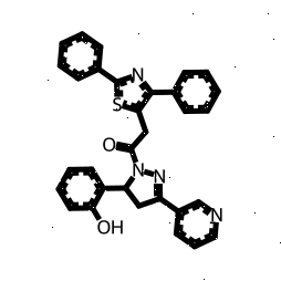 O=C(Cc1sc(-c2ccccc2)nc1-c1ccccc1)N1N=C(c2cccnc2)CC1c1ccccc1O